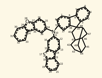 c1ccc2c(c1)-c1ccc(N(c3ccc4c(c3)sc3ccccc34)c3ccc4oc5ccccc5c4c3)cc1C21CC2CCC3CC2CC1C3